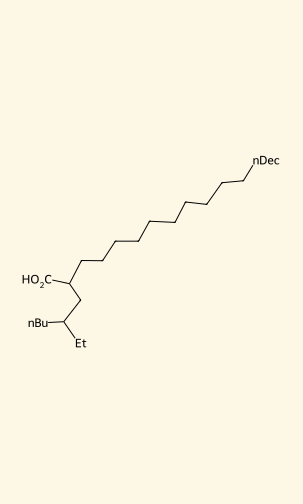 CCCCCCCCCCCCCCCCCCCCC(CC(CC)CCCC)C(=O)O